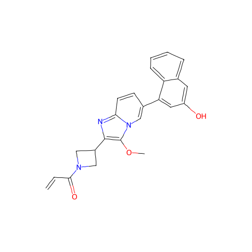 C=CC(=O)N1CC(c2nc3ccc(-c4cc(O)cc5ccccc45)cn3c2OC)C1